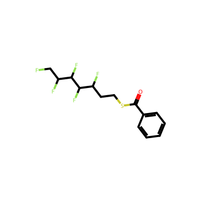 O=C(SCCC(F)C(F)C(F)C(F)CF)c1ccccc1